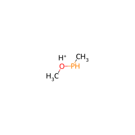 COPC.[H+]